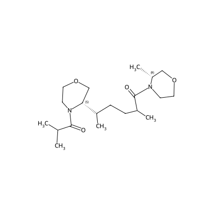 CC(C)C(=O)N1CCOC[C@@H]1C(C)CCC(C)C(=O)N1CCOC[C@H]1C